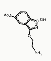 CC(=O)Oc1ccc2onc(OCCN)c2c1.Cl